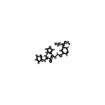 CN(C)c1cccc(OCCOC(=O)N(Cc2cccs2)Cc2cccs2)c1